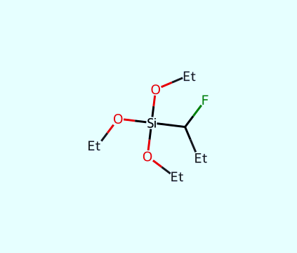 CCO[Si](OCC)(OCC)C(F)CC